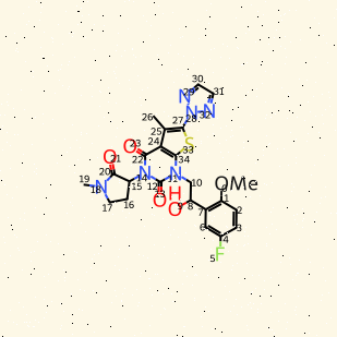 COc1ccc(F)cc1C(O)Cn1c(=O)n(C2CCN(C)C2=O)c(=O)c2c(C)c(-n3nccn3)sc21